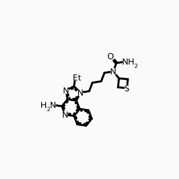 CCc1nc2c(N)nc3ccccc3c2n1CCCCN(C(N)=O)C1CSC1